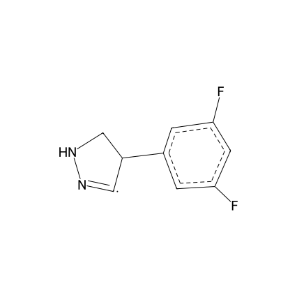 Fc1cc(F)cc(C2[C]=NNC2)c1